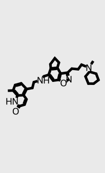 Cc1ccc(CCNCc2cc3onc(CCCN(C)C4CCCCC4)c3c3c2CCC3)c2ccc(=O)[nH]c12